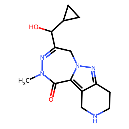 CN1N=C(C(O)C2CC2)Cn2nc3c(c2C1=O)CNCC3